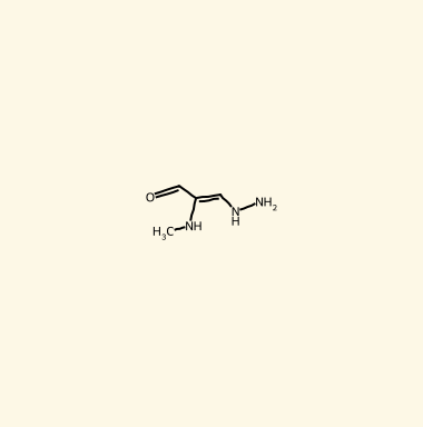 CN/C(C=O)=C\NN